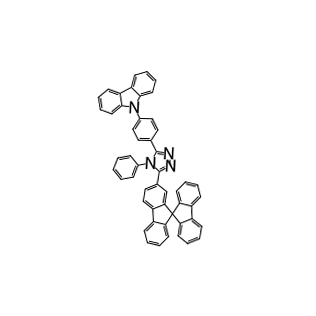 c1ccc(-n2c(-c3ccc(-n4c5ccccc5c5ccccc54)cc3)nnc2-c2ccc3c(c2)C2(c4ccccc4-c4ccccc42)c2ccccc2-3)cc1